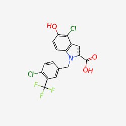 O=C(O)c1cc2c(Cl)c(O)ccc2n1Cc1ccc(Cl)c(C(F)(F)F)c1